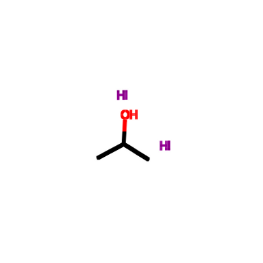 CC(C)O.I.I